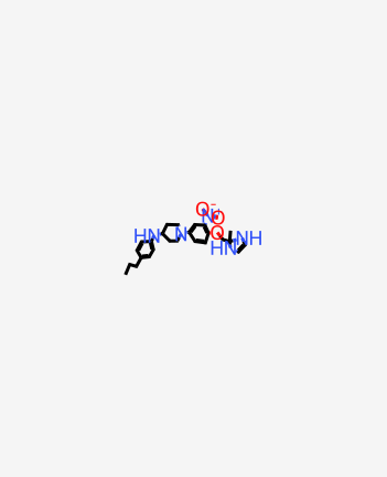 CCCc1ccc(NC2CCN(c3ccc(OCC4(C)NC=CN4)c([N+](=O)[O-])c3)CC2)cc1